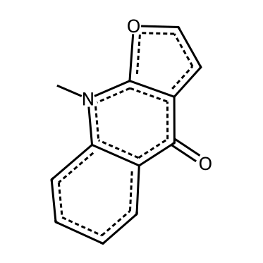 Cn1c2ccccc2c(=O)c2ccoc21